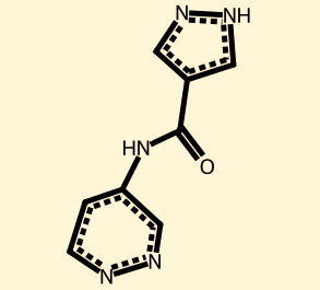 O=C(Nc1ccnnc1)c1cn[nH]c1